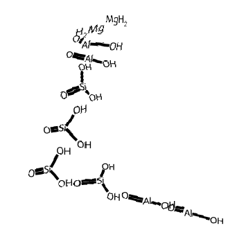 O=[Si](O)O.O=[Si](O)O.O=[Si](O)O.O=[Si](O)O.[MgH2].[MgH2].[O]=[Al][OH].[O]=[Al][OH].[O]=[Al][OH].[O]=[Al][OH]